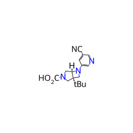 CC(C)(C)[C@@]12CN(C(=O)O)C[C@@H]1N(c1cncc(C#N)c1)C2